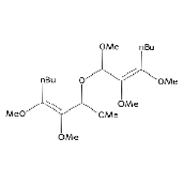 CCCCC(OC)=C(OC)C(OC)OC(OC)C(OC)=C(CCCC)OC